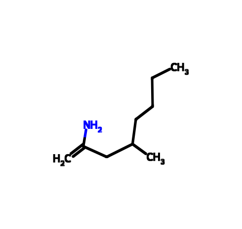 C=C(N)CC(C)CCCC